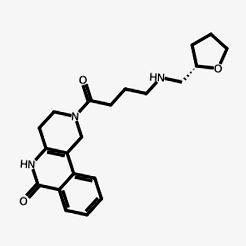 O=C(CCCNC[C@@H]1CCCO1)N1CCc2[nH]c(=O)c3ccccc3c2C1